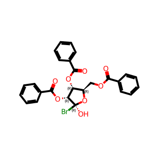 O=C(OC[C@H]1O[C@@](O)(Br)[C@H](OC(=O)c2ccccc2)[C@@H]1OC(=O)c1ccccc1)c1ccccc1